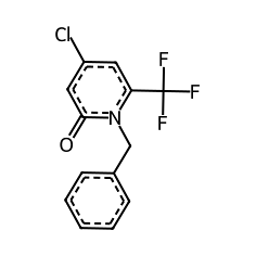 O=c1cc(Cl)cc(C(F)(F)F)n1Cc1ccccc1